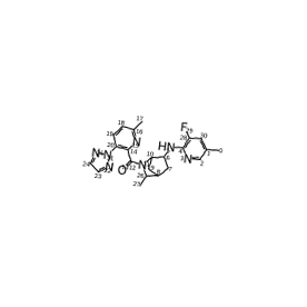 Cc1cnc(NC2CC3CC2N(C(=O)c2nc(C)ccc2-n2nccn2)C3C)c(F)c1